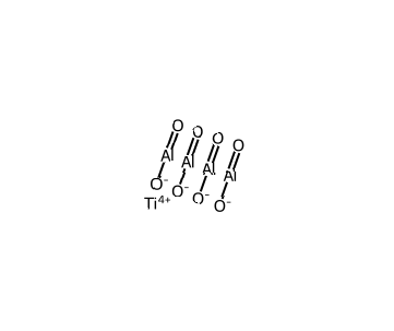 [O]=[Al][O-].[O]=[Al][O-].[O]=[Al][O-].[O]=[Al][O-].[Ti+4]